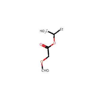 CCC(OC(=O)COC=O)C(=O)O